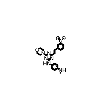 CNc1ccc(Nc2nc(/C=C/c3cccc([N+](=O)[O-])c3)nc(N3CCOCC3)n2)cc1